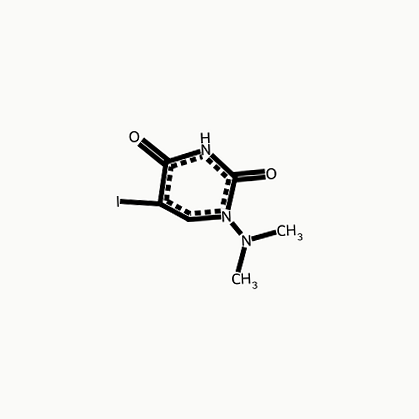 CN(C)n1cc(I)c(=O)[nH]c1=O